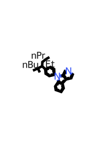 CCCCC(C)(C)C(CC(C)(CC)CCC)c1ccc(-n2c3ccccc3c3ccncc32)cc1